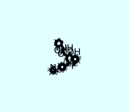 OC1C(C2OC2N[C@H]2CCCC[C@@H]2O)=CN(Cc2ccc(-n3cccn3)cc2)c2c(F)cccc21